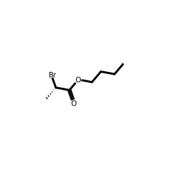 CCCCOC(=O)[C@H](C)Br